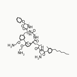 CCCCCCCc1ccc(C(=O)N[C@@H](CCN)C(=O)C(C)CC[C@@H]2C(=O)N[C@@H](C)C(=O)N[C@H](C(=O)N[C@@H](C)C(=O)Oc3ccccc3)Cc3ccc(OCCN)c(c3)-c3cc2ccc3OCCN)c(C)c1